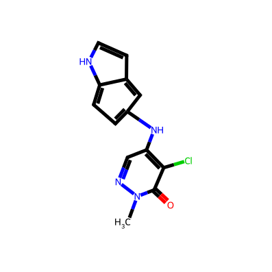 Cn1ncc(Nc2ccc3[nH]ccc3c2)c(Cl)c1=O